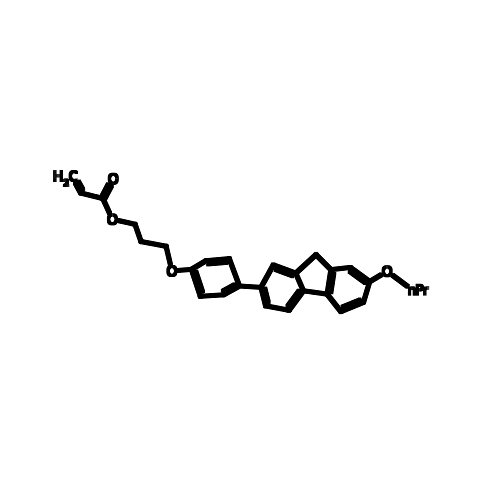 C=CC(=O)OCCCOc1ccc(-c2ccc3c(c2)Cc2cc(OCCC)ccc2-3)cc1